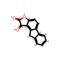 O=C1Oc2ccc3c(c2C1=O)Cc1ccccc1-3